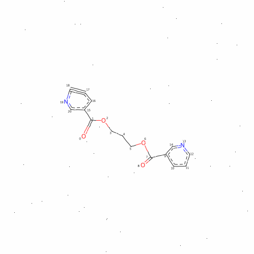 O=C(OCCCOC(=O)c1cccnc1)c1cc#cnc1